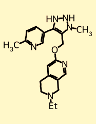 CCN1CCc2cc(OCC3=C(c4ccc(C)nc4)NNN3C)ncc2C1